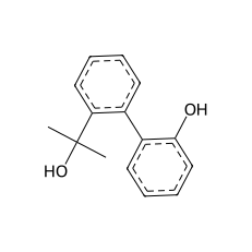 CC(C)(O)c1ccccc1-c1ccccc1O